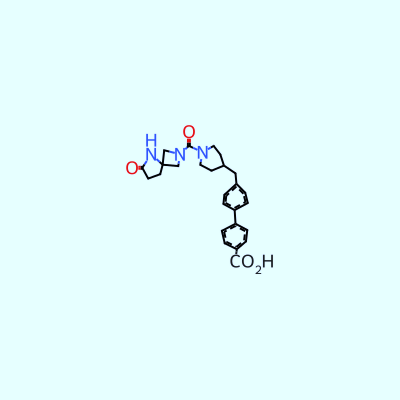 O=C1CCC2(CN(C(=O)N3CCC(Cc4ccc(-c5ccc(C(=O)O)cc5)cc4)CC3)C2)N1